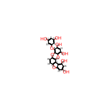 Oc1cc(O)cc(Oc2c(O)cc(O)c3c2Oc2ccc4oc5cc(O)cc(O)c5c4c2O3)c1